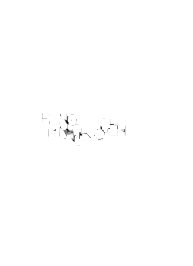 Cc1ccc(C=CC(=O)Oc2nc[nH]c2C(N)=O)cc1C